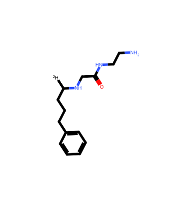 [2H]C(CCCc1ccccc1)NCC(=O)NCCN